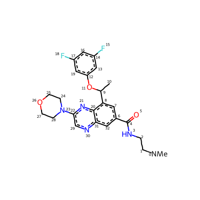 CNCCNC(=O)c1cc(C(C)Oc2cc(F)cc(F)c2)c2nc(N3CCOCC3)cnc2c1